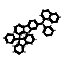 c1ccc(N(c2ccc3c(c2)oc2c(C4(c5ccccc5)c5ccccc5-c5ccccc54)cccc23)c2cccc3ccccc23)cc1